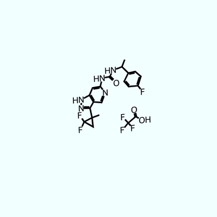 CC(NC(=O)Nc1cc2[nH]nc(C3(C)CC3(F)F)c2cn1)c1ccc(F)cc1.O=C(O)C(F)(F)F